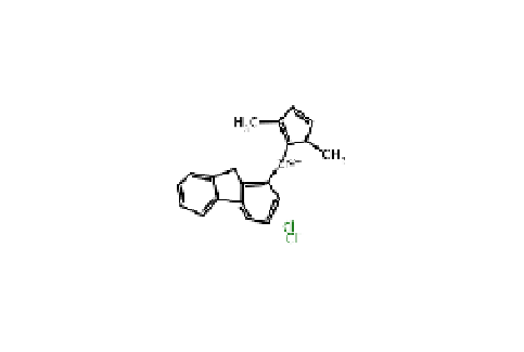 CC1=[C]([Zr+2][c]2cccc3c2Cc2ccccc2-3)C(C)C=C1.[Cl-].[Cl-]